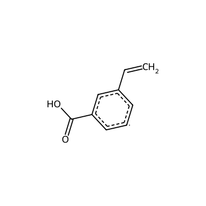 C=Cc1c[c]cc(C(=O)O)c1